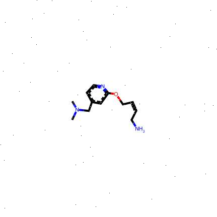 CN(C)Cc1ccnc(OC/C=C\CN)c1